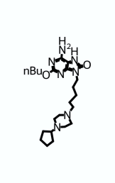 CCCCOc1nc(N)c2[nH]c(=O)n(CCCCCN3CCN(C4CCCC4)CC3)c2n1